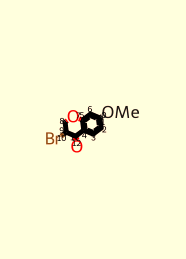 COc1ccc2c(c1)OCC(Br)C2=O